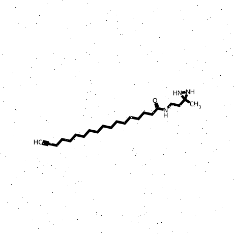 C#CCCCCCCCCCCCCCCCC(=O)NCCC1(C)NN1